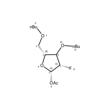 CCCCOC[C@H]1O[C@@H](OC(C)=O)[C@@H](F)C1OCCCC